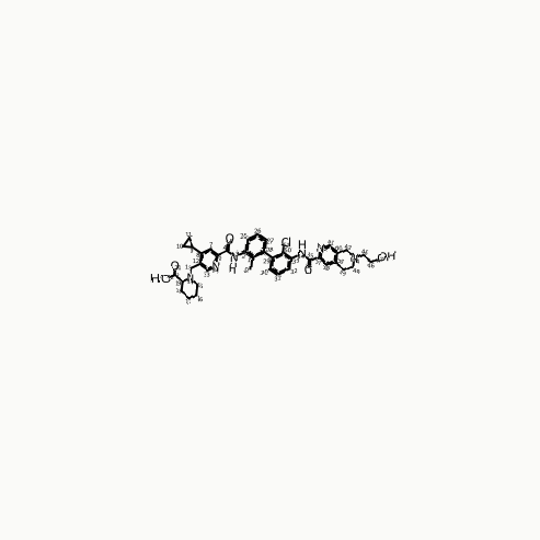 Cc1c(NC(=O)c2cc(C3CC3)c(CN3CCCCC3C(=O)O)cn2)cccc1-c1cccc(NC(=O)c2cc3c(cn2)CN(CCO)CC3)c1Cl